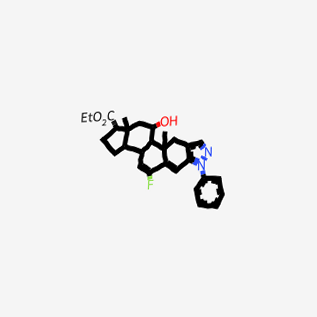 CCOC(=O)C1CCC2C3C=C(F)C4=Cc5c(cnn5-c5ccccc5)CC4(C)C3C(O)CC12C